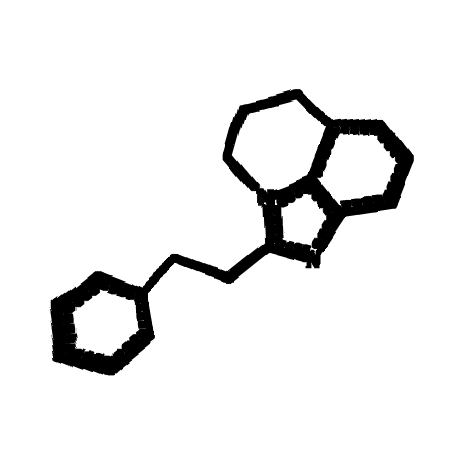 c1ccc(CCc2nc3cccc4c3n2CCC4)cc1